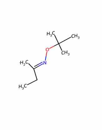 [CH2]/C(CC)=N\OC(C)(C)C